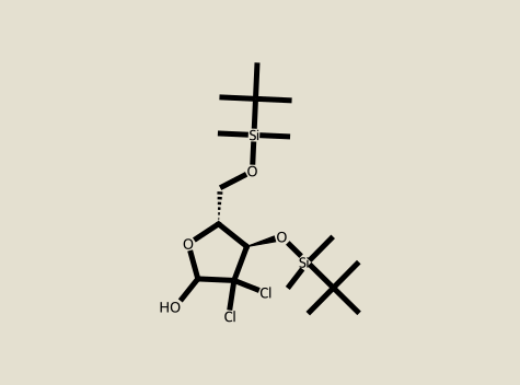 CC(C)(C)[Si](C)(C)OC[C@H]1OC(O)C(Cl)(Cl)[C@@H]1O[Si](C)(C)C(C)(C)C